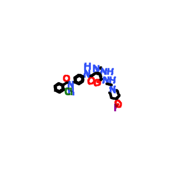 O=C(Nc1ccc(NC(=O)c2nc[nH]c2C(=O)NCCN2CCC(OI)CC2)cc1)c1ccccc1Cl